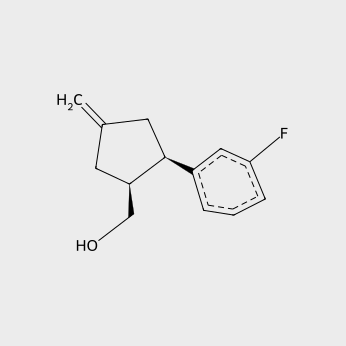 C=C1C[C@H](CO)[C@H](c2cccc(F)c2)C1